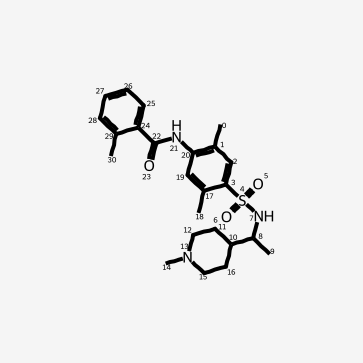 Cc1cc(S(=O)(=O)NC(C)C2CCN(C)CC2)c(C)cc1NC(=O)c1ccccc1C